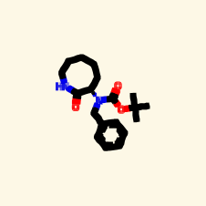 CC(C)(C)OC(=O)N(Cc1ccccc1)[C@H]1CCCCCNC1=O